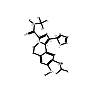 COc1cc2c(cc1NC(C)C)-c1c(-c3cccs3)cc(C(=O)N(C)C(C)(C)C)n1CC2